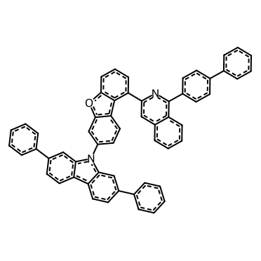 c1ccc(-c2ccc(-c3nc(-c4cccc5oc6cc(-n7c8cc(-c9ccccc9)ccc8c8ccc(-c9ccccc9)cc87)ccc6c45)cc4ccccc34)cc2)cc1